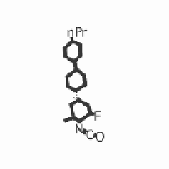 CCCC1CCC(C2CCC([C@H]3CC(C)C(N=C=O)C(F)C3)CC2)CC1